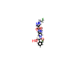 O=C([C@H](CO)c1ccccc1F)N1Cc2cn(S(=O)(=O)c3cnn(CCF)c3)nc2C1